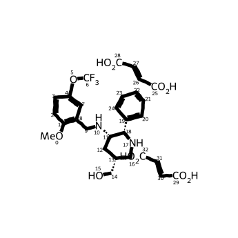 COc1ccc(OC(F)(F)F)cc1CN[C@H]1C[C@@H](CO)CN[C@H]1c1ccccc1.O=C(O)C=CC(=O)O.O=C(O)C=CC(=O)O